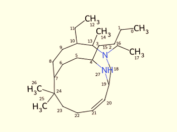 CCCCC1CCC2CCC(CC)C(C)N(CC)CC(C=CCCC2(C)C)N1